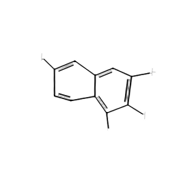 Fc1cc2cc(I)ccc2c(F)c1I